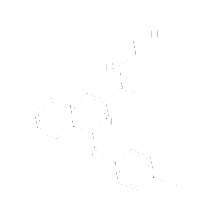 O=C(O)C[AsH]C(=O)c1cc2ccccc2c(Oc2ccc(O)cc2)n1